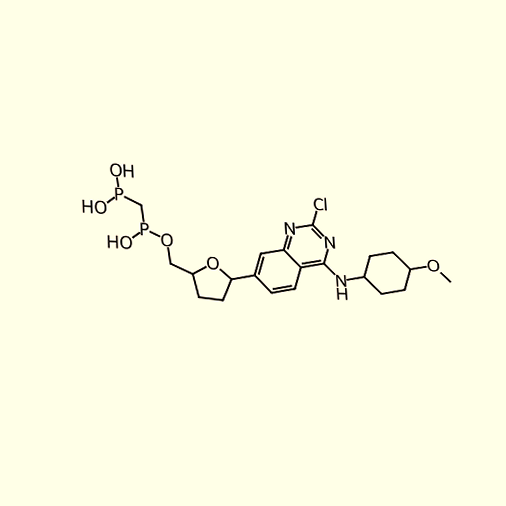 COC1CCC(Nc2nc(Cl)nc3cc(C4CCC(COP(O)CP(O)O)O4)ccc23)CC1